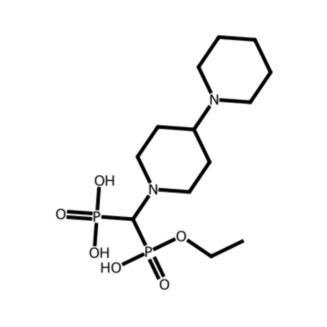 CCOP(=O)(O)C(N1CCC(N2CCCCC2)CC1)P(=O)(O)O